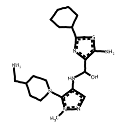 Cn1ncc(NC(O)c2nc(C3CCCCC3)sc2N)c1N1CCC(CN)CC1